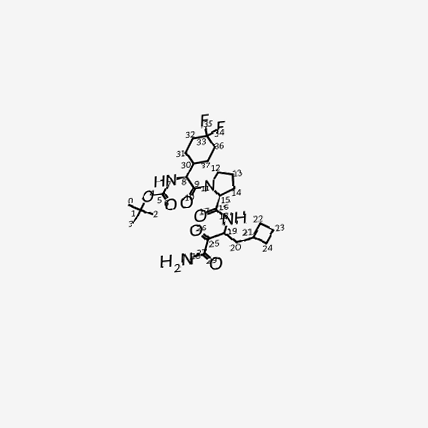 CC(C)(C)OC(=O)N[C@H](C(=O)N1CCC[C@H]1C(=O)NC(CC1CCC1)C(=O)C(N)=O)C1CCC(F)(F)CC1